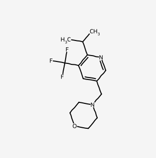 CC(C)c1ncc(CN2CCOCC2)cc1C(F)(F)F